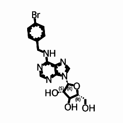 OC[C@H]1O[C@@H](n2cnc3c(NCc4ccc(Br)cc4)ncnc32)[C@@H](O)C1O